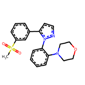 CS(=O)(=O)c1cccc(-c2ccnn2-c2ccccc2N2CCOCC2)c1